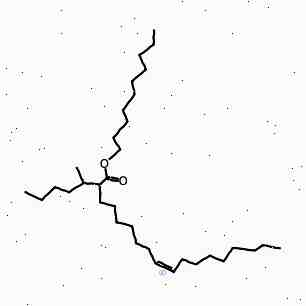 CCCCCCCC/C=C\CCCCCCC(C(=O)OCCCCCCCCCC)C(C)CCCC